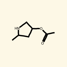 CC(=O)OC1CNC(C)C1